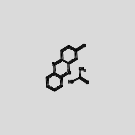 CC(=O)O.O=c1ccc2nc3ccccc3oc-2c1